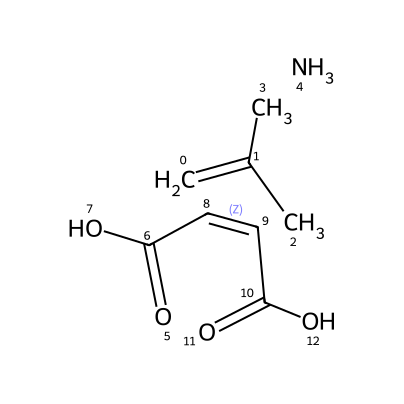 C=C(C)C.N.O=C(O)/C=C\C(=O)O